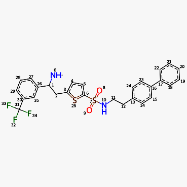 [NH]C(Cc1ccc(S(=O)(=O)NCCc2ccc(-c3ccccc3)cc2)s1)c1cccc(C(F)(F)F)c1